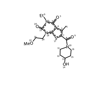 CCn1c(=O)c2c(C)c(C(=O)N3CCC(O)CC3)sc2n(CCOC)c1=O